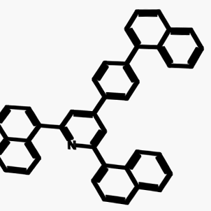 c1ccc2c(-c3ccc(-c4cc(-c5cccc6ccccc56)nc(-c5cccc6ccccc56)c4)cc3)cccc2c1